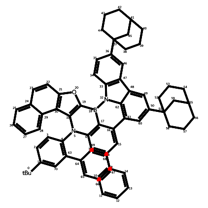 CC(C)(C)c1ccc(N2c3cc(-c4ccccc4)cc4c3B(c3oc5ccc6ccccc6c5c32)n2c3ccc(C56CCCC(CCC5)C6)cc3c3cc(C56CCCC(CCC5)C6)cc-4c32)c(-c2ccccc2)c1